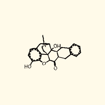 CN1CC[C@]23c4c5ccc(O)c4OC2C(=O)C2Cc4ccccc4CC2[C@@]3(O)C1C5